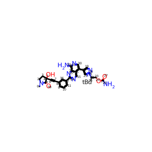 CN1CCC(O)(C#Cc2cccc(-c3ncc4c(-c5cnn([C@@H](COC(N)=O)C(C)(C)C)c5)cnc(N)c4n3)c2)C1=O